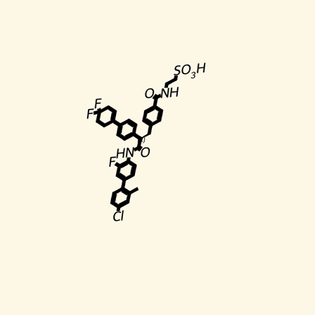 Cc1cc(Cl)ccc1-c1ccc(NC(=O)[C@H](Cc2ccc(C(=O)NCCS(=O)(=O)O)cc2)c2ccc(C3=CCC(F)(F)CC3)cc2)c(F)c1